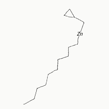 CCCCCCCCC[CH2][Zn][CH2]C1CC1